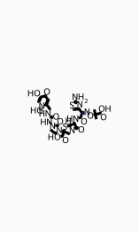 CC(C)(O/N=C(\C(=O)NC1C(=O)N2CC(C(=O)O)(N3CCN(NC(=O)NCc4cc(=O)c(O)cn4O)C3=O)S[C@H]12)c1csc(N)n1)C(=O)O